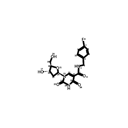 O=C(NCc1ccc(F)cc1)c1cn([C@H]2C[C@H](O)[C@@H](CO)O2)c(=O)[nH]c1=O